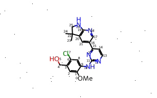 COc1cc(CO)c(Cl)cc1Nc1nccc(-c2cnc3c(c2)C(C)(C)CN3)n1